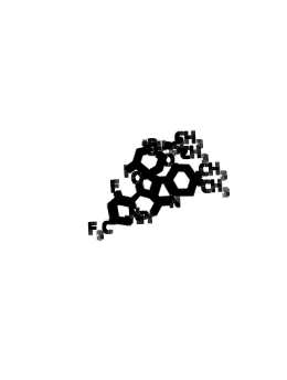 CC(C)c1nc2c(c3c1[C@@H](c1ncc(C(F)(F)F)cc1F)OC31CCOCC1I)C(O[Si](C)(C)C(C)(C)C)CC(C)(C)C2